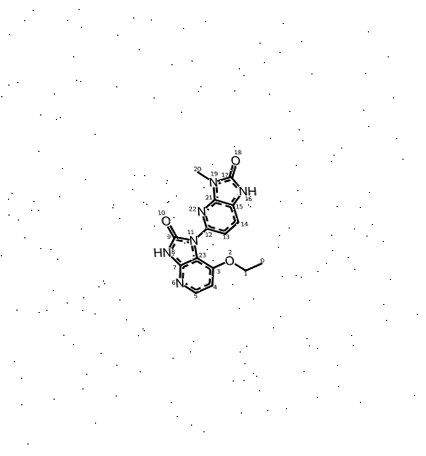 CCOc1ccnc2[nH]c(=O)n(-c3ccc4[nH]c(=O)n(C)c4n3)c12